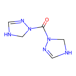 O=C(N1CNC=N1)N1CNC=N1